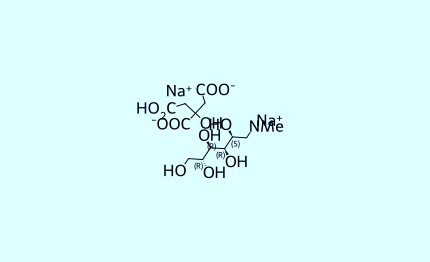 CNC[C@H](O)[C@@H](O)[C@H](O)[C@H](O)CO.O=C([O-])CC(O)(CC(=O)O)C(=O)[O-].[Na+].[Na+]